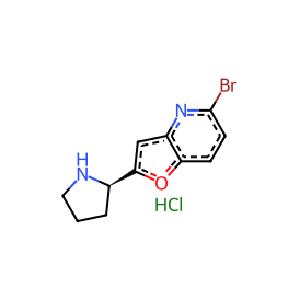 Brc1ccc2oc([C@H]3CCCN3)cc2n1.Cl